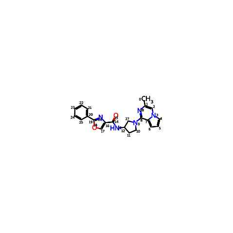 Cc1cn2cccc2c(N2CCC(NC(=O)c3coc(-c4ccccc4)n3)C2)n1